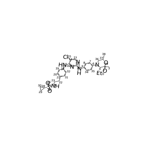 CCOC1(C)CN(c2ccc(Nc3ncc(Cl)c(Nc4ccc(CCNS(=O)(=O)C5CC5)cc4)n3)cc2)CC(C)O1